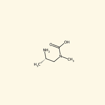 C[C@H](N)CN(C)C(=O)O